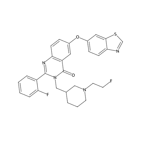 O=c1c2cc(Oc3ccc4ncsc4c3)ccc2nc(-c2ccccc2F)n1CC1CCCN(CCF)C1